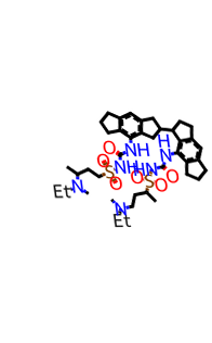 CCN(C)CCC(C)S(=O)(=O)NC(=O)Nc1c2c(cc3c1C(C1Cc4cc5c(c(NC(=O)NS(=O)(=O)CCC(C)N(C)CC)c4C1)CCC5)CC3)CCC2